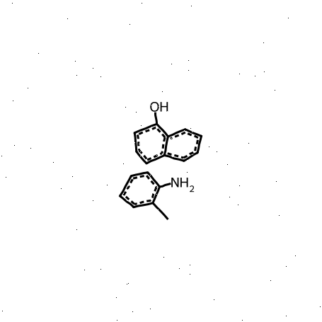 Cc1ccccc1N.Oc1cccc2ccccc12